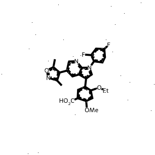 CCOc1cc(OC)c(C(=O)O)cc1-c1cn(-c2ccc(F)cc2F)c2ncc(-c3c(C)noc3C)cc12